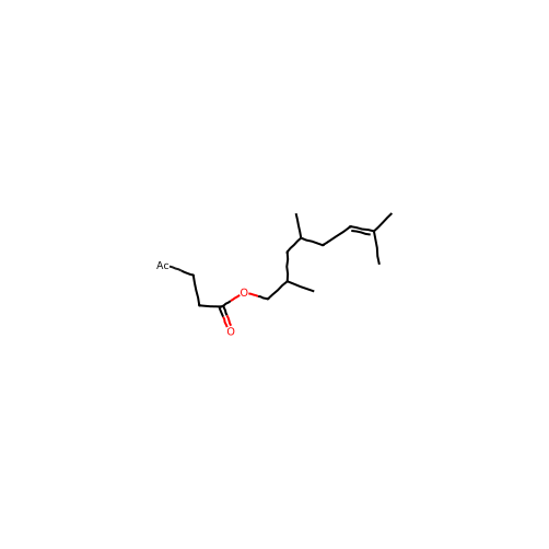 CC(=O)CCC(=O)OCC(C)CC(C)CC=C(C)C